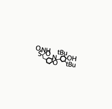 CC(C)(C)c1cc(-c2nc3cc(CC4SC(=O)NC4=O)ccc3o2)cc(C(C)(C)C)c1O